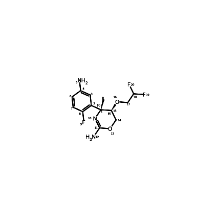 C[C@]1(c2cc(N)ccc2F)N=C(N)OC[C@@H]1OCC(F)F